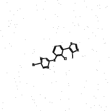 Cc1ncsc1-c1cccc(Sc2cnc(Br)cn2)c1Cl